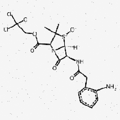 CC1(C)C(C(=O)OCC(Cl)(Cl)Cl)N2C(=O)[C@H](NC(=O)Cc3ccccc3N)[C@@H]2[S+]1[O-]